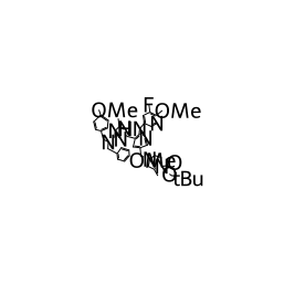 COc1ccc(CN(Cc2ccc(OC)cc2)c2nc(C)nc(-c3cc(CN4CCN(C(=O)OC(C)(C)C)C(C)C4)cnc3Nc3cnc(OC)c(F)c3)n2)cc1